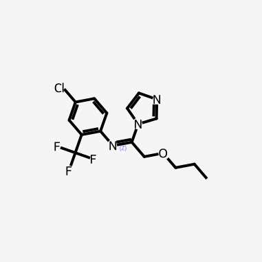 CCCOC/C(=N/c1ccc(Cl)cc1C(F)(F)F)n1ccnc1